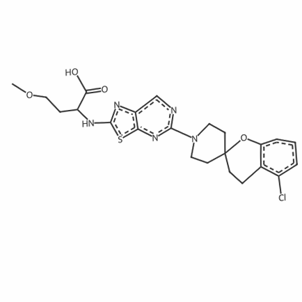 COCCC(Nc1nc2cnc(N3CCC4(CCc5c(Cl)cccc5O4)CC3)nc2s1)C(=O)O